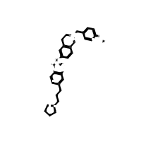 O=S(=O)(Nc1ccc(CCCC2CCCC2)cc1F)c1ccc2c(c1)CCN(Cc1ccc(OC(F)(F)F)cc1)C2